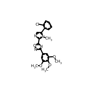 COc1cc(-c2noc(-c3ncc(-c4ccccc4Cl)n3C)n2)cc(OC)c1OC